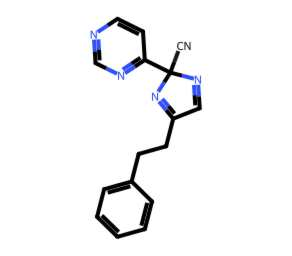 N#CC1(c2ccncn2)N=CC(CCc2ccccc2)=N1